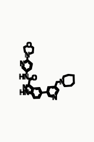 O=C(Nc1ccc(N2CCOCC2)nc1)c1n[nH]c2ccc(-c3cncc(CN4CCCCCC4)c3)cc12